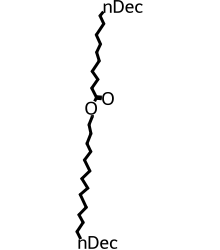 CCCCCCCCCCCCCCCCCCCCCCCCOC(=O)CCCCCCCCCCCCCCCCCCC